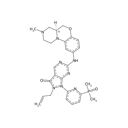 C=CCn1c(=O)c2cnc(Nc3ccc4c(c3)N3CCN(C)C[C@H]3CO4)nc2n1-c1cccc(P(C)(C)=O)n1